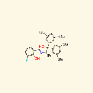 CC(C)C(N=Cc1cccc(F)c1O)C(O)(c1cc(C(C)(C)C)cc(C(C)(C)C)c1)c1cc(C(C)(C)C)cc(C(C)(C)C)c1